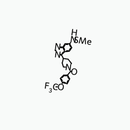 CSNc1ccc2c(C3CCN(C(=O)c4ccc(OC(F)(F)F)cc4)CC3)ncnc2c1